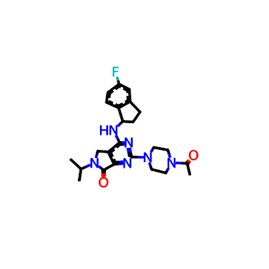 CC(=O)N1CCN(c2nc(NC3CCc4cc(F)ccc43)c3c(n2)C(=O)N(C(C)C)C3)CC1